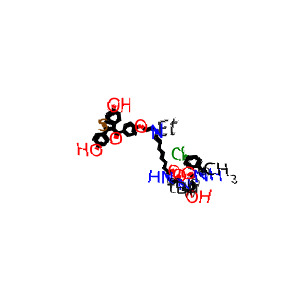 CCN(CCCCCCCC(=O)N[C@H](C(=O)N1C[C@H](O)C[C@H]1C(=O)N[C@@H](C)c1ccc(Cl)cc1)C(C)(C)C)CCOc1ccc(C(=O)c2c(-c3ccc(O)cc3)sc3cc(O)ccc23)cc1